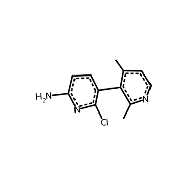 Cc1ccnc(C)c1-c1ccc(N)nc1Cl